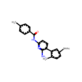 CC(=O)Nc1ccc(C)c(-c2ccc(NC(=O)c3ccc(C)cc3)nc2N)c1